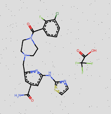 NC(=O)c1cc(CN2CCN(C(=O)c3cccc(Cl)c3F)CC2)nc(Nc2nccs2)c1.O=C(O)C(F)(F)F